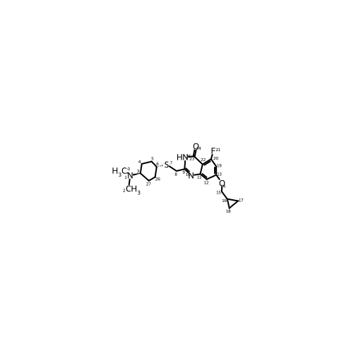 CN(C)[C@H]1CC[C@H](SCc2nc3cc(OCC4CC4)cc(F)c3c(=O)[nH]2)CC1